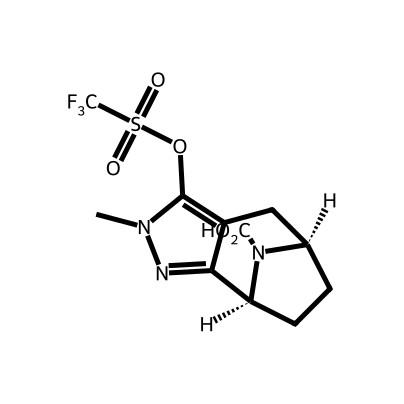 Cn1nc2c(c1OS(=O)(=O)C(F)(F)F)C[C@H]1CC[C@@H]2N1C(=O)O